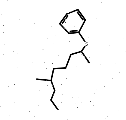 CCCC(C)CCCC(C)Sc1ccccc1